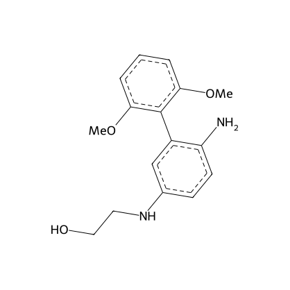 COc1cccc(OC)c1-c1cc(NCCO)ccc1N